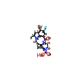 Cc1cc2c(Br)c(F)cc3c2n1CC[C@H]1CN(C(=O)O)CCN1C3=O